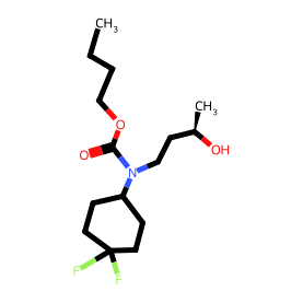 CCCCOC(=O)N(CC[C@@H](C)O)C1CCC(F)(F)CC1